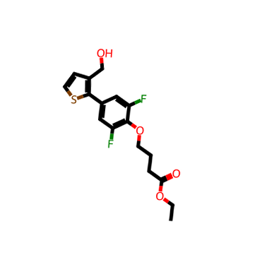 CCOC(=O)CCCOc1c(F)cc(-c2sccc2CO)cc1F